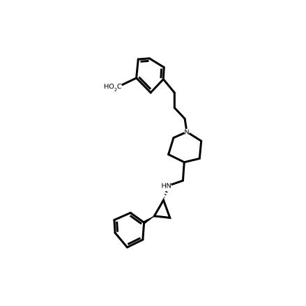 O=C(O)c1cccc(CCCN2CCC(CN[C@@H]3C[C@H]3c3ccccc3)CC2)c1